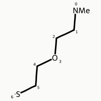 CNCCOCC[S]